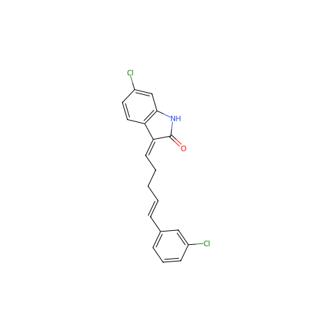 O=C1Nc2cc(Cl)ccc2C1=CCCC=Cc1cccc(Cl)c1